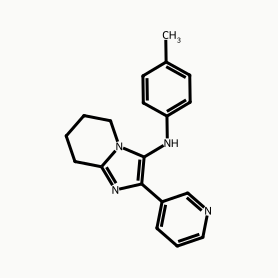 Cc1ccc(Nc2c(-c3cccnc3)nc3n2CCCC3)cc1